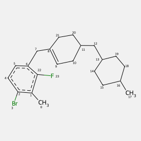 Cc1c(Br)ccc(CC2=CCC(CC3CCC(C)CC3)CC2)c1F